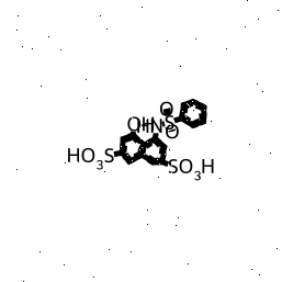 O=S(=O)(O)c1cc(O)c2c(NS(=O)(=O)c3ccccc3)cc(S(=O)(=O)O)cc2c1